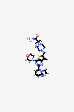 Cc1c(CN2CCN(C(C)(C)C(N)=O)CC2)sc2c(N3CCOCC3)nc(-c3cccc4nccn34)nc12